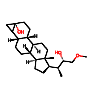 COC[C@@H](O)[C@@H](C)[C@H]1CC[C@H]2[C@@H]3CC[C@@H]4C5C[C@@]5(O)CC[C@@H]4[C@H]3CC[C@]12C